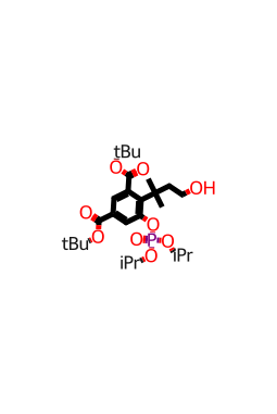 CC(C)OP(=O)(Oc1cc(C(=O)OC(C)(C)C)cc(C(=O)OC(C)(C)C)c1C(C)(C)CCO)OC(C)C